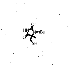 CCCCN1C(=O)NC(=O)C1(C)CS